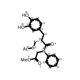 COC(=O)CN(C(=O)[C@H](CSC(C)=O)Cc1ccc(O)c(O)c1)c1ccccc1